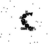 COc1cc(N2CCC3(CCN(C(=O)c4ccc(NOCC5CC5)cc4)CC3)C2=O)ccc1/C(C=N)=C/N